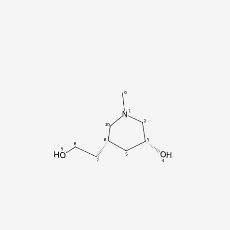 CN1C[C@H](O)C[C@H](CCO)C1